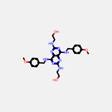 COc1ccc(CNc2nc(NCCO)nc3c(NCc4ccc(OC)cc4)nc(NCCO)nc23)cc1